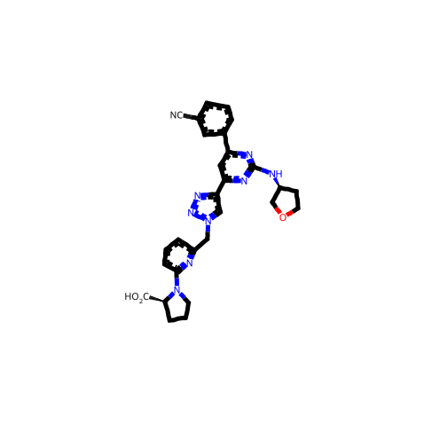 N#Cc1cccc(-c2cc(-c3cn(Cc4cccc(N5CCC[C@H]5C(=O)O)n4)nn3)nc(N[C@H]3CCOC3)n2)c1